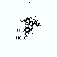 Cc1cc(OCc2c(-c3ncc(Cl)cc3F)nsc2CF)c(F)cc1CCC(=O)O